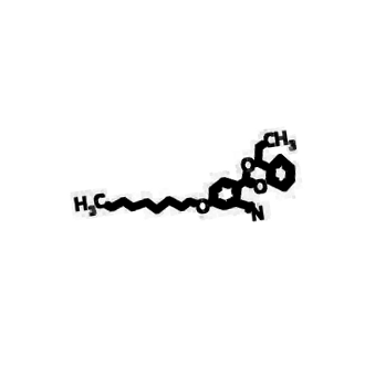 CCCCCCCCCOc1ccc(C(=O)OC(CC)c2ccccc2)c(C#N)c1